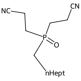 CCCCCCCCP(=O)(CCC#N)CCC#N